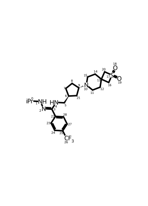 CC(C)N/N=C(\NC[C@H]1CC[C@H](N2CCC3(CC2)CS(=O)(=O)C3)C1)c1ccc(C(F)(F)F)cc1